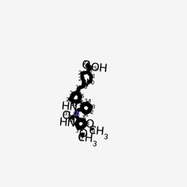 COc1cc2c(cc1OC)/C(=C(/Nc1ccc(CCN3CCC(C(=O)O)CC3)cc1)c1ccccc1)C(=O)N2